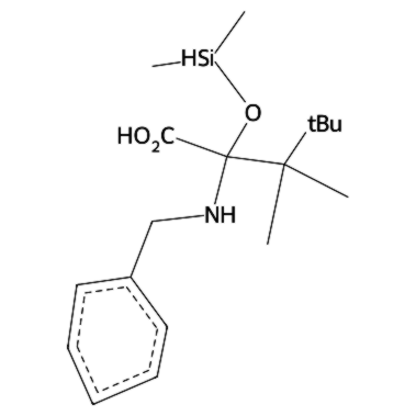 C[SiH](C)OC(NCc1ccccc1)(C(=O)O)C(C)(C)C(C)(C)C